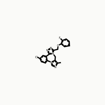 Cc1ncn2c1Cn1c(COc3ccccc3F)nnc1-c1cc(Cl)ccc1-2